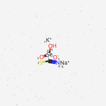 N#C[S-].O=[Se]([O-])O.[K+].[Na+]